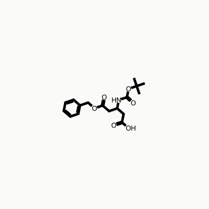 CC(C)(C)OC(=O)NC(CC(=O)O)CC(=O)OCc1ccccc1